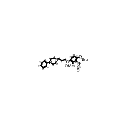 COc1c(OCCCN2CCN(c3ccccc3)CC2)ccc(OC(C)(C)C)c1N=C=O